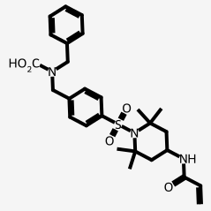 C=CC(=O)NC1CC(C)(C)N(S(=O)(=O)c2ccc(CN(Cc3ccccc3)C(=O)O)cc2)C(C)(C)C1